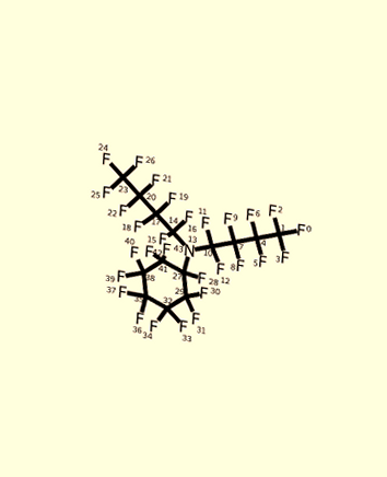 FC(F)(F)C(F)(F)C(F)(F)C(F)(F)N(C(F)(F)C(F)(F)C(F)(F)C(F)(F)F)C1(F)C(F)(F)C(F)(F)C(F)(F)C(F)(F)C1(F)F